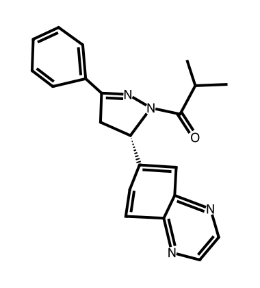 CC(C)C(=O)N1N=C(c2ccccc2)C[C@H]1c1ccc2nccnc2c1